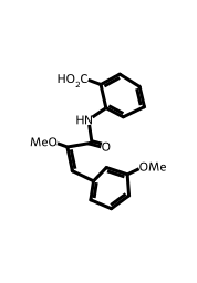 COC(=Cc1cccc(OC)c1)C(=O)Nc1ccccc1C(=O)O